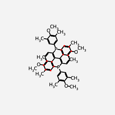 COc1c(C)cc(P(c2cc(C)c(OC)c(C)c2)c2ccc3ccccc3c2-c2c(P(c3cc(C)c(OC)c(C)c3)c3cc(C)c(OC)c(C)c3)ccc3ccccc23)cc1C